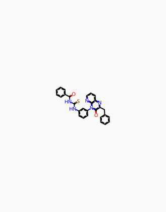 O=C(NC(=S)Nc1cccc(-n2c(=O)c(Cc3ccccc3)nc3cccnc32)c1)c1ccccc1